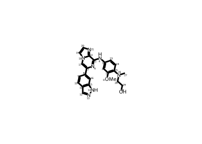 COc1cc(Nc2nc(-c3ccc4cn[nH]c4c3)cn3ccnc23)ccc1N(C)CCO